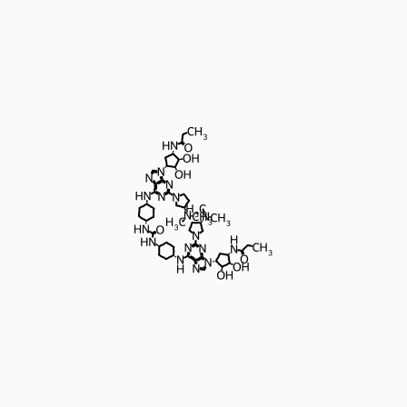 CCC(=O)N[C@H]1C[C@@H](n2cnc3c(N[C@H]4CC[C@H](NC(=O)N[C@H]5CC[C@H](Nc6nc(N7CC[C@@H](N(C)C)C7)nc7c6ncn7[C@@H]6C[C@H](NC(=O)CC)[C@@H](O)[C@H]6O)CC5)CC4)nc(N4CC[C@@H](N(C)C)C4)nc32)[C@H](O)[C@@H]1O